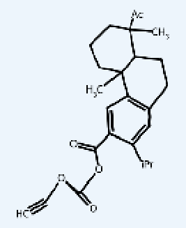 C#COC(=O)OC(=O)c1cc2c(cc1C(C)C)CCC1C(C)(C(C)=O)CCCC21C